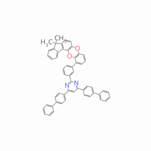 CC1(C)c2ccccc2-c2c1ccc1c2Oc2c(cccc2-c2cccc(-c3nc(-c4ccc(-c5ccccc5)cc4)cc(-c4ccc(-c5ccccc5)cc4)n3)c2)O1